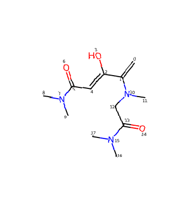 C=C(/C(O)=C/C(=O)N(C)C)N(C)CC(=O)N(C)C